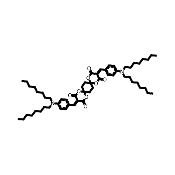 CCCCCCCCN(CCCCCCCC)c1ccc(C=C2C(=O)OC3(CCC4(CC3)OC(=O)C(=Cc3ccc(N(CCCCCCCC)CCCCCCCC)cc3)C(=O)O4)OC2=O)cc1